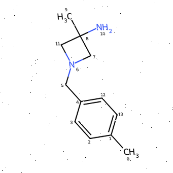 Cc1ccc(CN2CC(C)(N)C2)cc1